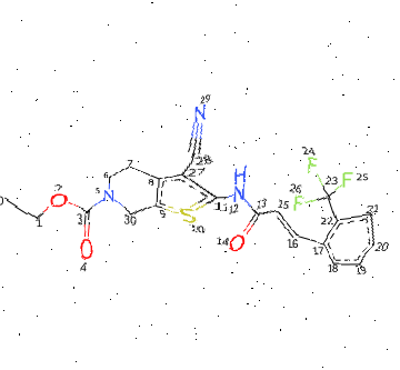 CCOC(=O)N1CCc2c(sc(NC(=O)C=Cc3ccccc3C(F)(F)F)c2C#N)C1